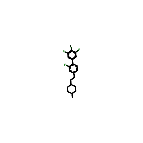 CC1CCC(CCc2ccc(-c3cc(F)c(F)c(F)c3)c(F)c2)CC1